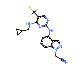 N#CCn1ncc2c(Nc3ncc(C(F)(F)F)c(NCC4CC4)n3)cccc21